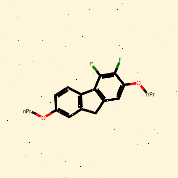 CCCOc1ccc2c(c1)Cc1cc(OCCC)c(F)c(F)c1-2